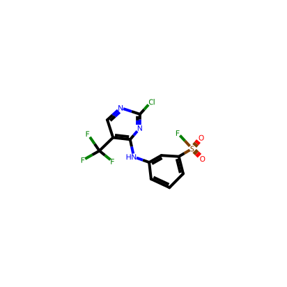 O=S(=O)(F)c1cccc(Nc2nc(Cl)ncc2C(F)(F)F)c1